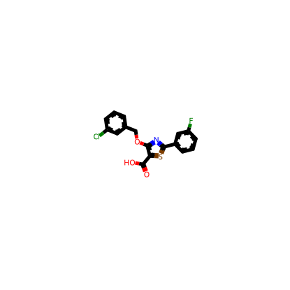 O=C(O)c1sc(-c2cccc(F)c2)nc1OCc1cccc(Cl)c1